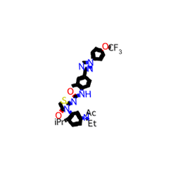 CCN(C(C)=O)c1ccc(C(C)C)c(N2C(=O)CS/C2=N\C(=O)Nc2ccc(-c3ncn(-c4ccc(OC(F)(F)F)cc4)n3)cc2C)c1